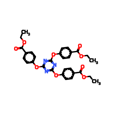 CCOC(=O)c1ccc(Oc2nc(Oc3ccc(C(=O)OCC)cc3)nc(Oc3ccc(C(=O)OCC)cc3)n2)cc1